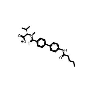 CCCCC(=O)Nc1ccc(-c2ccc(C(=O)N(C)[C@H](C(=O)O)C(C)C)cc2)cc1